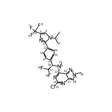 CC(C)n1cc(C(F)(F)F)nc1-c1ccc([C@H](C(F)F)N(C)c2nc(Cl)nc3cn(C)nc23)cc1